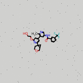 Cc1ncc(NC(=O)c2cccc(C(F)(F)F)c2)cc1-c1cc(OCCO)nc(C23CCOCC2C3)c1